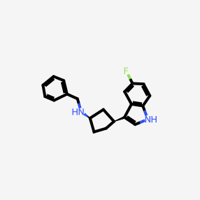 Fc1ccc2[nH]cc([C@H]3CC[C@@H](NCc4ccccc4)C3)c2c1